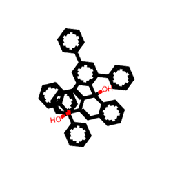 OC1(c2ccccc2)C2=Cc3ccccc3C(O)(c3c(-c4ccccc4)cc(-c4ccccc4)cc3-c3ccccc3)C2=Cc2ccccc21